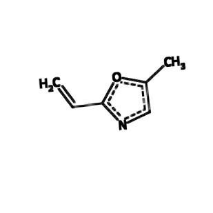 C=Cc1ncc(C)o1